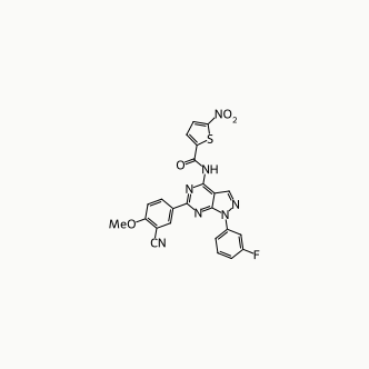 COc1ccc(-c2nc(NC(=O)c3ccc([N+](=O)[O-])s3)c3cnn(-c4cccc(F)c4)c3n2)cc1C#N